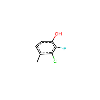 Cc1ccc(O)c(F)c1Cl